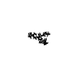 N#CC1(NS(=O)(=O)c2cc(N3CCC(n4ccnn4)CC3)c3cnc(-c4nnc(C(F)(F)F)s4)n3c2)CC1